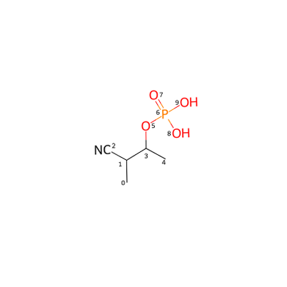 CC(C#N)C(C)OP(=O)(O)O